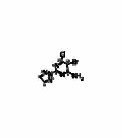 Nc1nc(-n2nccn2)nc(Cl)c1Br